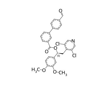 COc1ccc([C@H](Cc2c(Cl)cncc2Cl)OC(=O)c2cccc(-c3ccc(C=O)cc3)c2)cc1OC